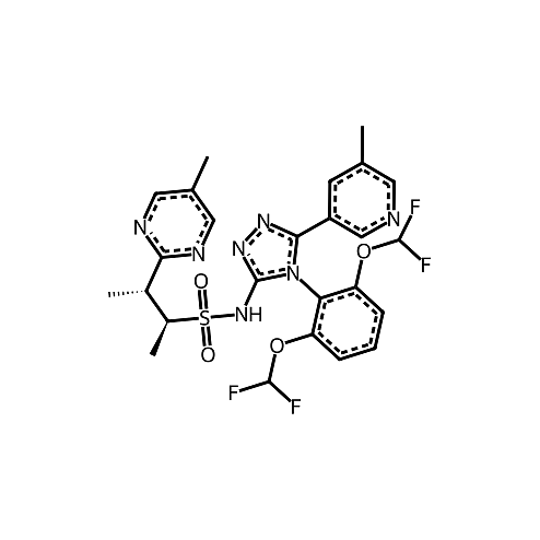 Cc1cnc([C@@H](C)[C@H](C)S(=O)(=O)Nc2nnc(-c3cncc(C)c3)n2-c2c(OC(F)F)cccc2OC(F)F)nc1